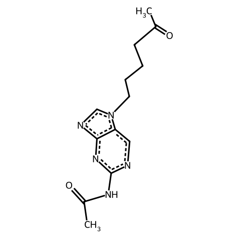 CC(=O)CCCCn1cnc2nc(NC(C)=O)ncc21